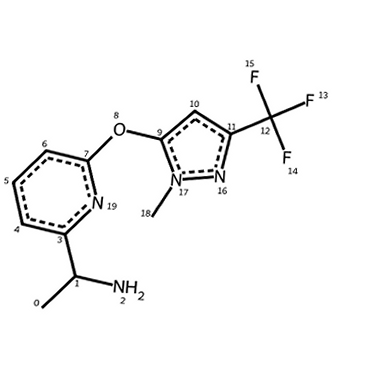 CC(N)c1cccc(Oc2cc(C(F)(F)F)nn2C)n1